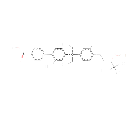 CCC(CC)(c1ccc(CCC(OS)C(C)(C)C)c(C)c1)c1ccc(-c2ccc(C(=O)OC)cc2)c(C)c1